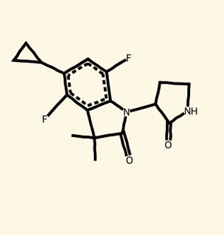 CC1(C)C(=O)N(C2CCNC2=O)c2c(F)cc(C3CC3)c(F)c21